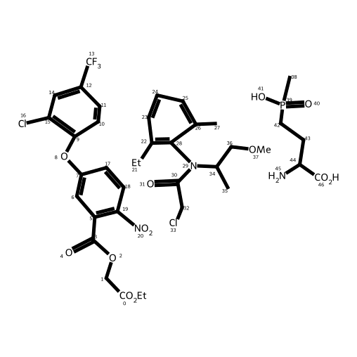 CCOC(=O)COC(=O)c1cc(Oc2ccc(C(F)(F)F)cc2Cl)ccc1[N+](=O)[O-].CCc1cccc(C)c1N(C(=O)CCl)C(C)COC.CP(=O)(O)CCC(N)C(=O)O